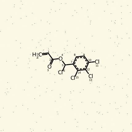 C=CC(=O)OC(Cl)c1ccc(Cl)c(Cl)c1Cl